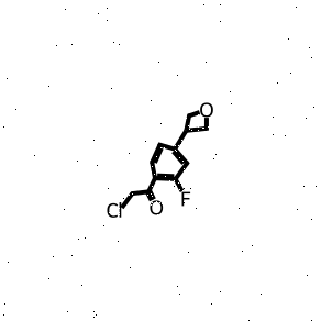 O=C(CCl)c1ccc(C2COC2)cc1F